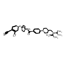 C=C(C)N(CC1CCN(c2ccc(C(=O)NC34CCC(Oc5ccc(C#N)c(Cl)c5)(CC3)C4)cc2)CC1)C(C)C